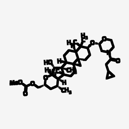 COC(=O)OC[C@H]1C[C@@H](C)[C@H]2[C@H](O1)[C@H](O)[C@@]1(C)[C@@H]3CC[C@H]4C(C)(C)[C@@H](O[C@H]5CN(C(=O)CC6CC6)CCO5)CC[C@@]45C[C@@]35CC[C@]21C